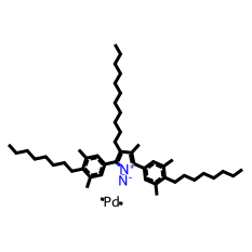 CCCCCCCCCCCC1=C(c2cc(C)c(CCCCCCCC)c(C)c2)[N+](=[N-])C(c2cc(C)c(CCCCCCCC)c(C)c2)=C1C.[CH3][Pd][CH3]